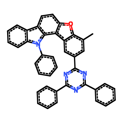 Cc1cc(-c2nc(-c3ccccc3)nc(-c3ccccc3)n2)cc2c1oc1ccc3c4ccccc4n(-c4ccccc4)c3c12